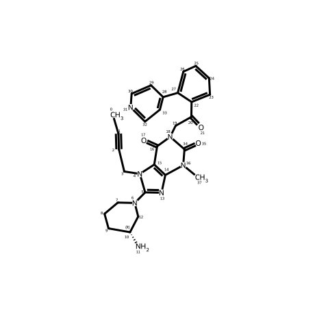 CC#CCn1c(N2CCC[C@@H](N)C2)nc2c1c(=O)n(CC(=O)c1ccccc1-c1ccncc1)c(=O)n2C